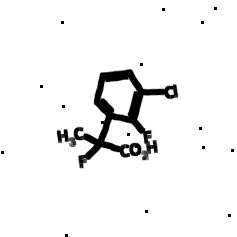 CC(F)(C(=O)O)c1cccc(Cl)c1F